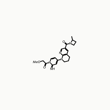 COCC(=O)n1ccc(N2CCCc3cc(C(=O)N4CCC4C)cnc32)cc1=N